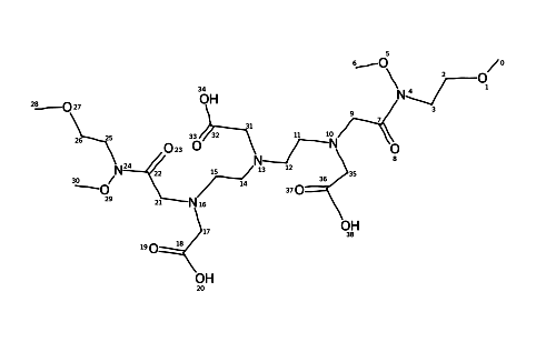 COCCN(OC)C(=O)CN(CCN(CCN(CC(=O)O)CC(=O)N(CCOC)OC)CC(=O)O)CC(=O)O